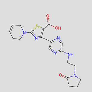 O=C(O)c1sc(N2CC=CCC2)nc1-c1cnc(NCCN2CCCC2=O)cn1